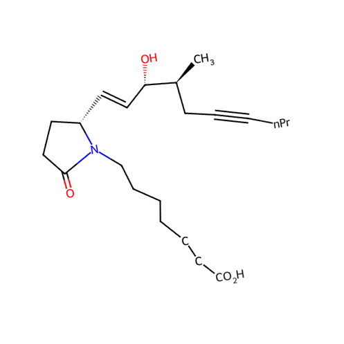 CCCC#CC[C@H](C)[C@@H](O)C=C[C@H]1CCC(=O)N1CCCCCCC(=O)O